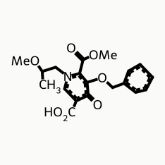 COC(=O)c1c(OCc2ccccc2)c(=O)c(C(=O)O)cn1CC(C)OC